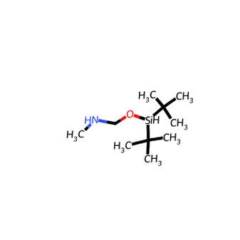 CNCO[SiH](C(C)(C)C)C(C)(C)C